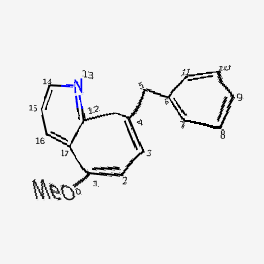 COc1ccc(Cc2ccccc2)c2ncccc12